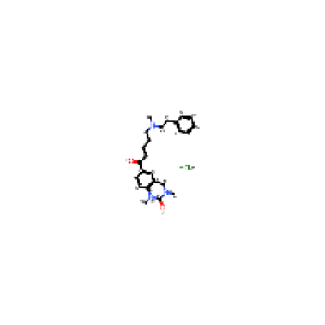 CN(CCCCC(=O)c1ccc2c(c1)CN(C)C(=O)N2C)CCc1ccccc1.Cl